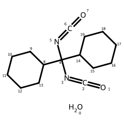 O.O=C=NC(N=C=O)(C1CCCCC1)C1CCCCC1